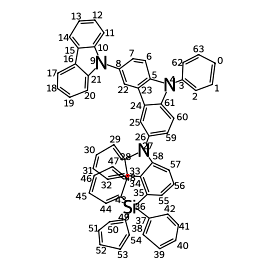 c1ccc(-n2c3ccc(-n4c5ccccc5c5ccccc54)cc3c3cc(-n4c5ccccc5c5c([Si](c6ccccc6)(c6ccccc6)c6ccccc6)cccc54)ccc32)cc1